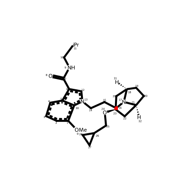 COc1cccc2c(C(=O)NCC(C)C)cn(CCCN3[C@@H]4CC[C@H]3C[C@@H](OCC3CC3)C4)c12